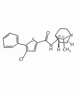 C[C@H]1[C@H](NC(=O)c2cc(Cl)c(-c3ccccc3)s2)C2CCN1CC2